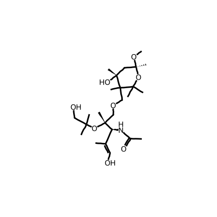 CO[C@]1(C)C[C@@](C)(O)C(C)(COC[C@@](C)(OC(C)(C)CO)[C@@H](NC(C)=O)/C(C)=C/O)C(C)(C)O1